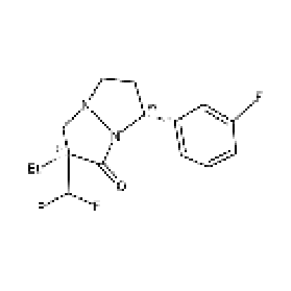 CC[C@]1(C(F)F)CN2CC[C@H](c3cccc(F)c3)N2C1=O